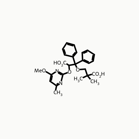 COc1cc(C)nc(OC(C(=O)O)C(OCC(C)(C)C(=O)O)(c2ccccc2)c2ccccc2)n1